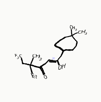 CCC(C)(CC(F)(F)F)C(=O)/C=C(\O)C1CCC(C)(C)CC1